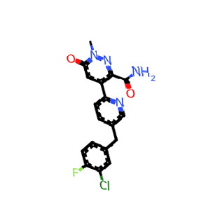 Cn1nc(C(N)=O)c(-c2ccc(Cc3ccc(F)c(Cl)c3)cn2)cc1=O